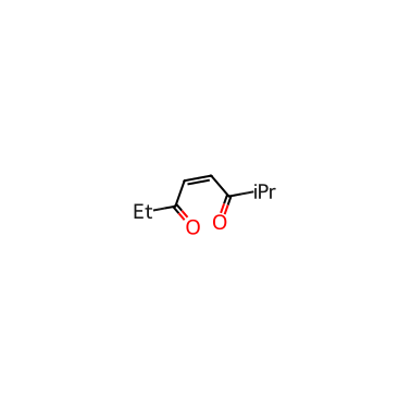 CCC(=O)/C=C\C(=O)C(C)C